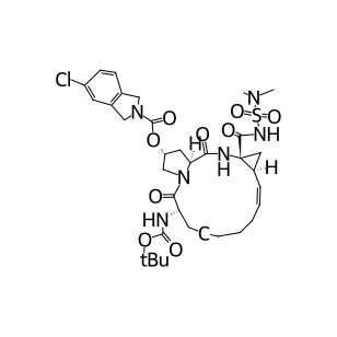 CN(C)S(=O)(=O)NC(=O)[C@@]12C[C@H]1/C=C\CCCCC[C@H](NC(=O)OC(C)(C)C)C(=O)N1C[C@H](OC(=O)N3Cc4ccc(Cl)cc4C3)C[C@H]1C(=O)N2